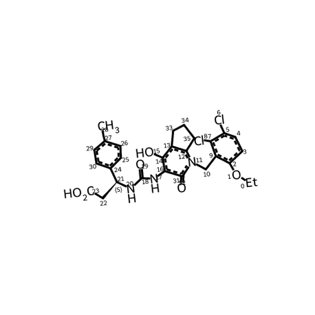 CCOc1ccc(Cl)c(Cl)c1Cn1c2c(c(O)c(NC(=O)N[C@@H](CC(=O)O)c3ccc(C)cc3)c1=O)CCC2